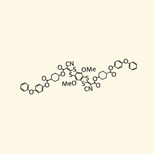 COc1c2c(c(OC)c3c1SC(=C(C#N)C(=O)OC1CCC(C(=O)Oc4ccc(Oc5ccccc5)cc4)CC1)S3)SC(=C(C#N)C(=O)OC1CCC(C(=O)Oc3ccc(Oc4ccccc4)cc3)CC1)S2